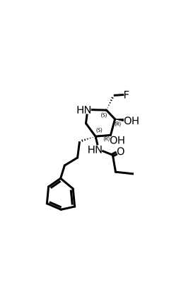 CCC(=O)N[C@@]1(CCCc2ccccc2)CN[C@H](CF)[C@@H](O)[C@@H]1O